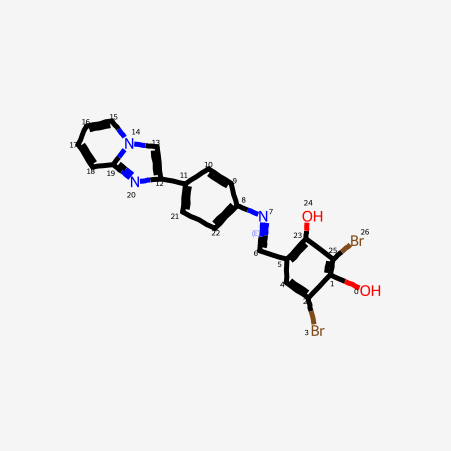 Oc1c(Br)cc(/C=N/c2ccc(-c3cn4ccccc4n3)cc2)c(O)c1Br